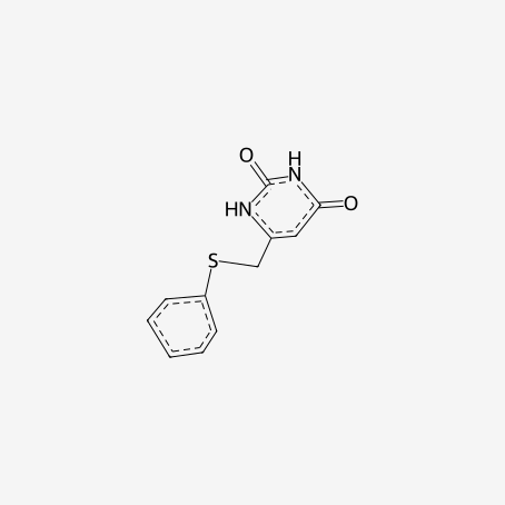 O=c1cc(CSc2ccccc2)[nH]c(=O)[nH]1